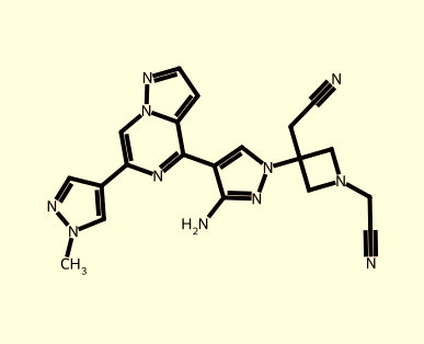 Cn1cc(-c2cn3nccc3c(-c3cn(C4(CC#N)CN(CC#N)C4)nc3N)n2)cn1